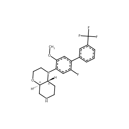 COc1cc(-c2cccc(C(F)(F)F)c2)c(F)cc1N1CCO[C@@H]2CNCC[C@H]21